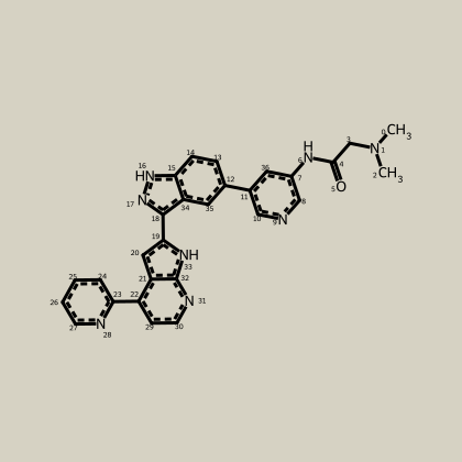 CN(C)CC(=O)Nc1cncc(-c2ccc3[nH]nc(-c4cc5c(-c6ccccn6)ccnc5[nH]4)c3c2)c1